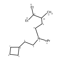 CCCN(CCC1CCC1)CCC(C)C(CC)CC